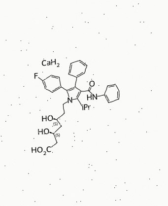 CC(C)c1c(C(=O)Nc2ccccc2)c(-c2ccccc2)c(-c2ccc(F)cc2)n1CC[C@H](O)C[C@H](O)CC(=O)O.[CaH2]